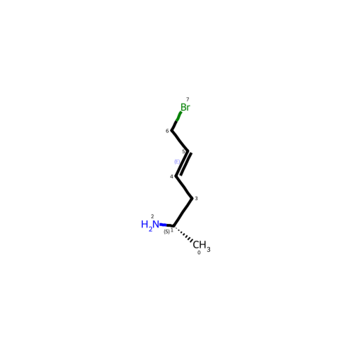 C[C@H](N)C/C=C/CBr